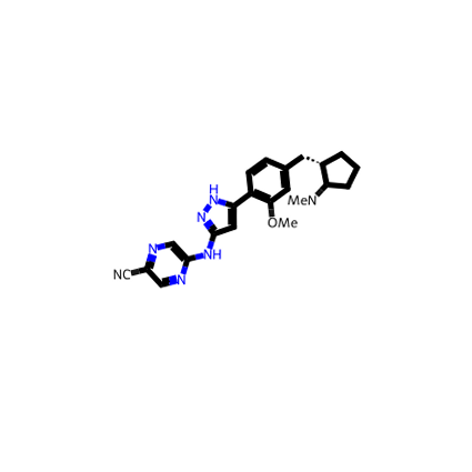 CNC1CCC[C@H]1Cc1ccc(-c2cc(Nc3cnc(C#N)cn3)n[nH]2)c(OC)c1